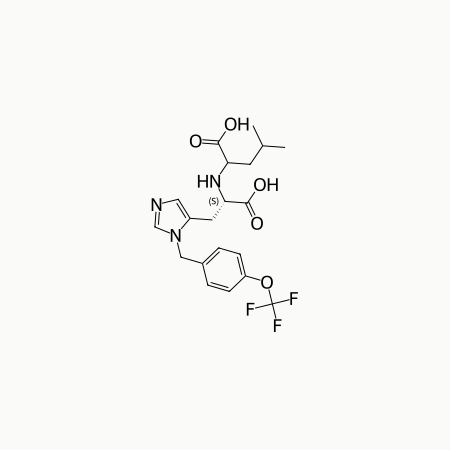 CC(C)CC(N[C@@H](Cc1cncn1Cc1ccc(OC(F)(F)F)cc1)C(=O)O)C(=O)O